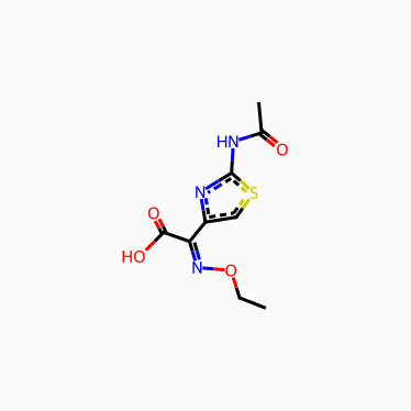 CCO/N=C(/C(=O)O)c1csc(NC(C)=O)n1